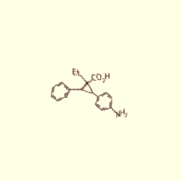 CCC1(C(=O)O)C(c2ccccc2)C1c1ccc(N)cc1